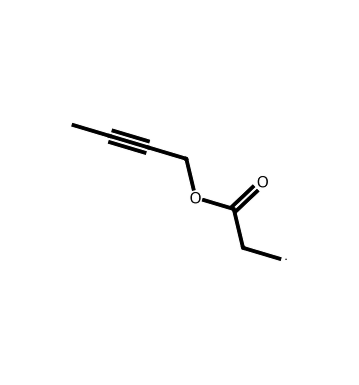 [CH2]CC(=O)OCC#CC